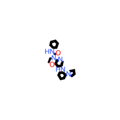 O=C(Nc1ccccc1)N1CCOc2cc(Nc3ccccc3-n3cccc3)cnc21